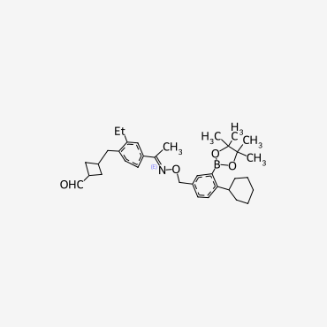 CCc1cc(/C(C)=N/OCc2ccc(C3CCCCC3)c(B3OC(C)(C)C(C)(C)O3)c2)ccc1CC1CC(C=O)C1